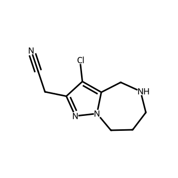 N#CCc1nn2c(c1Cl)CNCCC2